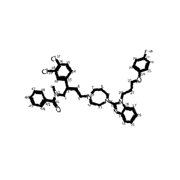 CN(CC(CCN1CCCN(c2nc3ccccc3n2CCCOc2ccc(F)cc2)CC1)c1ccc(Cl)c(Cl)c1)C(=O)c1ccccc1